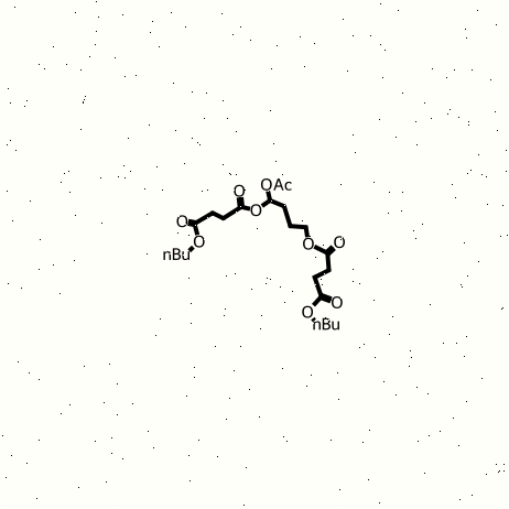 CCCCOC(=O)CCC(=O)OCCCC(OC(C)=O)OC(=O)CCC(=O)OCCCC